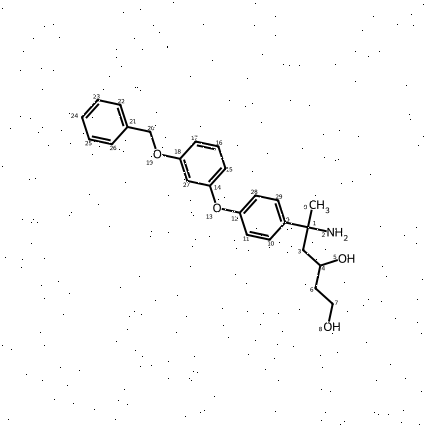 CC(N)(CC(O)CCO)c1ccc(Oc2cccc(OCc3ccccc3)c2)cc1